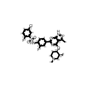 Cc1n[nH]c2nc(-c3ccc(NS(=O)(=O)c4cc(Cl)ccc4F)c(F)c3)nc(O[C@@H]3CCN(C)C[C@@H]3F)c12